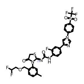 Cc1ccc(COCC(F)F)c(N2C(=O)CS/C2=N\C(=O)Nc2ccc(-c3cn(-c4ccc(S(=O)(=O)C(F)(F)F)cc4)cn3)cc2F)c1